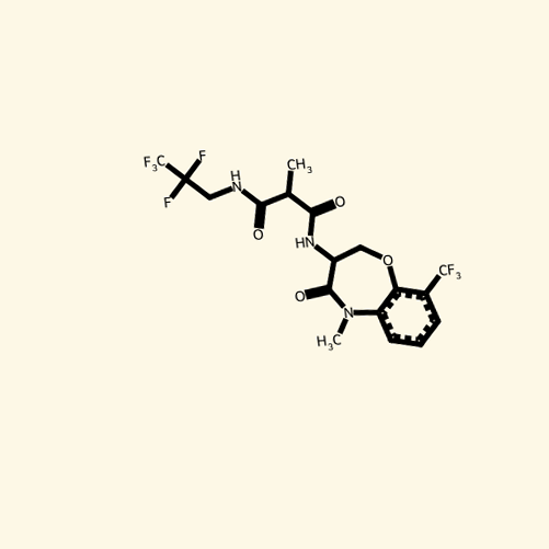 CC(C(=O)NCC(F)(F)C(F)(F)F)C(=O)NC1COc2c(cccc2C(F)(F)F)N(C)C1=O